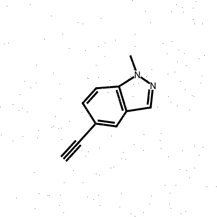 C#Cc1ccc2c(cnn2C)c1